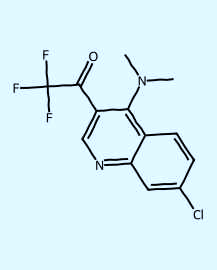 CN(C)c1c(C(=O)C(F)(F)F)cnc2cc(Cl)ccc12